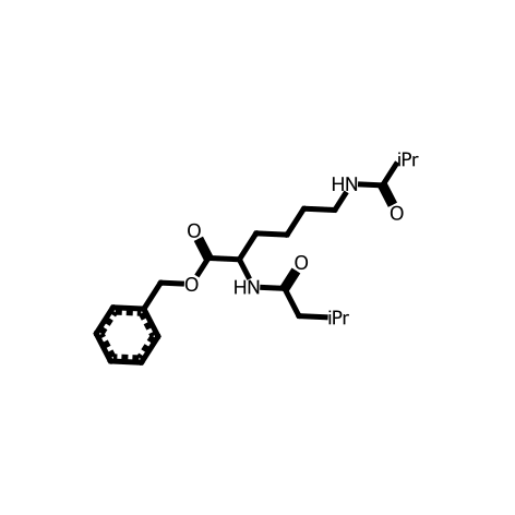 CC(C)CC(=O)NC(CCCCNC(=O)C(C)C)C(=O)OCc1ccccc1